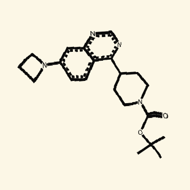 CC(C)(C)OC(=O)N1CCC(c2ncnc3cc(N4CCC4)ccc23)CC1